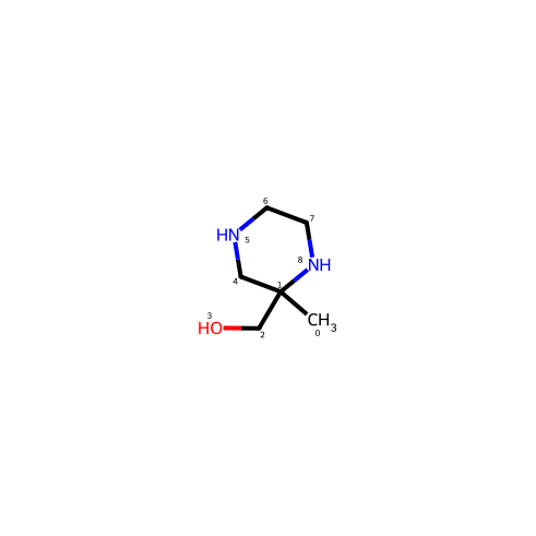 CC1(CO)CNCCN1